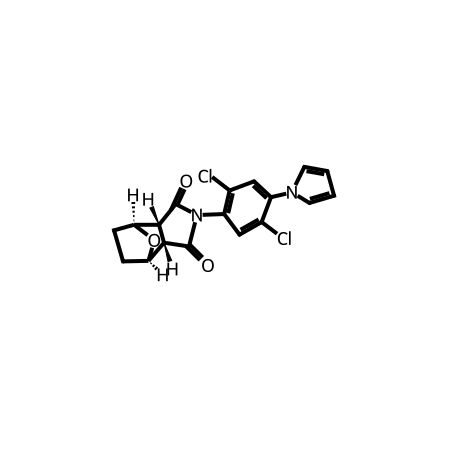 O=C1[C@@H]2[C@H](C(=O)N1c1cc(Cl)c(-n3cccc3)cc1Cl)[C@H]1CC[C@@H]2O1